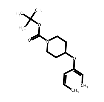 C/C=C\C(=C/C)OC1CCN(C(=O)OC(C)(C)C)CC1